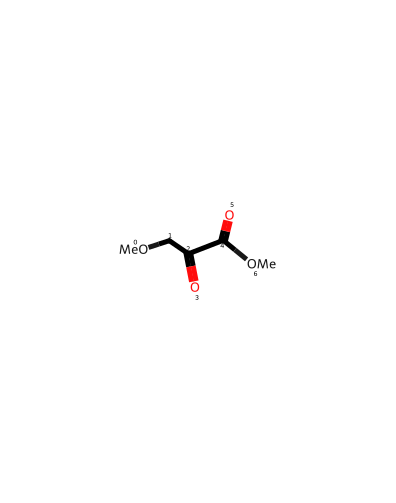 COCC(=O)C(=O)OC